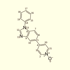 [O-][n+]1ccc(-c2ccc3c(c2)ncn3-c2ccccc2)cc1